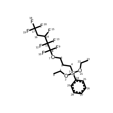 CCO[Si](CCCOC(F)(F)C(F)(F)C(F)CC(F)(F)F)(OCC)c1ccccc1